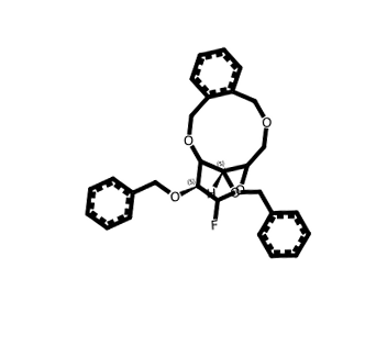 FC1OC2COCc3ccccc3COC([C@@H]1OCc1ccccc1)[C@H]2OCc1ccccc1